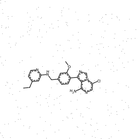 CCc1ccnc(NCc2ccc(-c3ncn4c(Cl)cnc(N)c34)c(OC)c2)c1